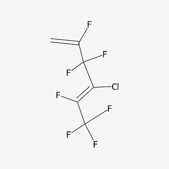 C=C(F)C(F)(F)C(Cl)=C(F)C(F)(F)F